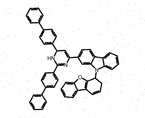 C1=Cc2c(oc3ccccc23)C(n2c3ccccc3c3ccc(C4=CC(c5ccc(-c6ccccc6)cc5)NC(c5ccc(-c6ccccc6)cc5)=N4)cc32)C1